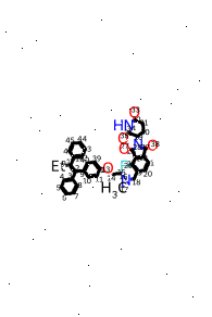 CCC(=C(c1ccccc1)c1ccc(OCCN(C)Cc2ccc3c(c2F)C(=O)N(C2CCC(=O)NC2=O)C3=O)cc1)c1ccccc1